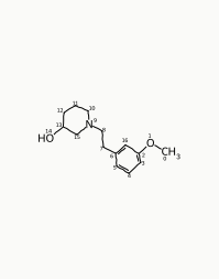 COc1cccc(CCN2CCCC(O)C2)c1